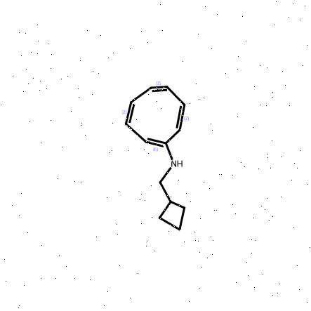 C1=C\C=C/C(NCC2CCC2)=C\C=C/1